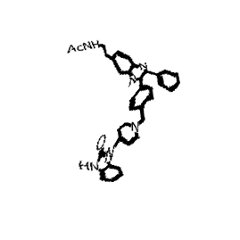 CC(=O)NCCc1ccc2nc(-c3ccccc3)c(-c3ccc(CN4CCC(n5c(=O)[nH]c6ccccc65)CC4)cc3)nc2c1